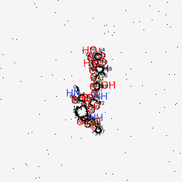 CCN[C@H]1CO[C@@H](O[C@H]2[C@H](O[C@H]3C#C/C=C/C#C[C@]4(O)CC(=O)C(NC(=O)OC)=C3/C4=C\CSSC3CCCC3)O[C@H](C)[C@@H](NO[C@H]3C[C@H](O)[C@H](SC(=O)c4c(C)c(I)c(O[C@@H]5O[C@@H](C)[C@H](O)[C@@H](OC)[C@H]5O)c(OC)c4OC)[C@@H](C)O3)[C@@H]2O)C[C@@H]1OC